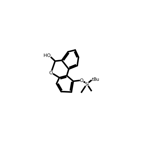 CC(C)(C)[Si](C)(C)Oc1cccc2c1-c1ccccc1C(O)O2